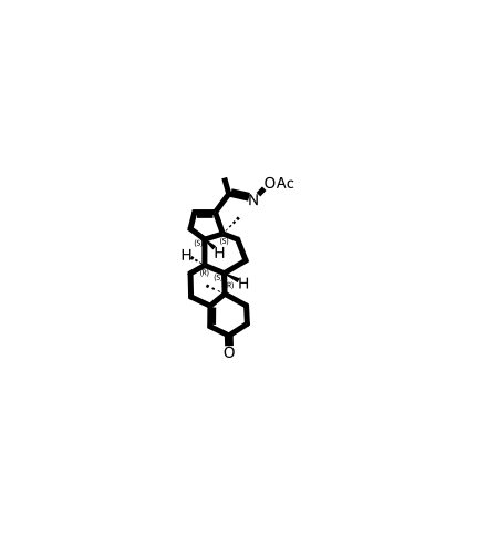 CC(=O)ON=C(C)C1=CC[C@H]2[C@@H]3CCC4=CC(=O)CC[C@]4(C)[C@H]3CC[C@]12C